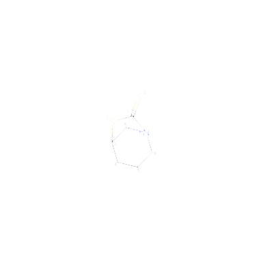 S=C1SC2CCCN1C2